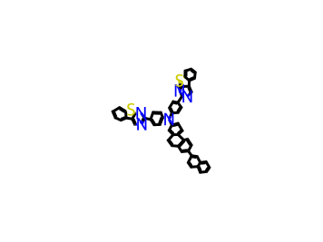 c1ccc2cc(-c3ccc4c(ccc5cc(N(c6ccc(-c7ncc8c(n7)sc7ccccc78)cc6)c6ccc(-c7ncc8c(n7)sc7ccccc78)cc6)ccc54)c3)ccc2c1